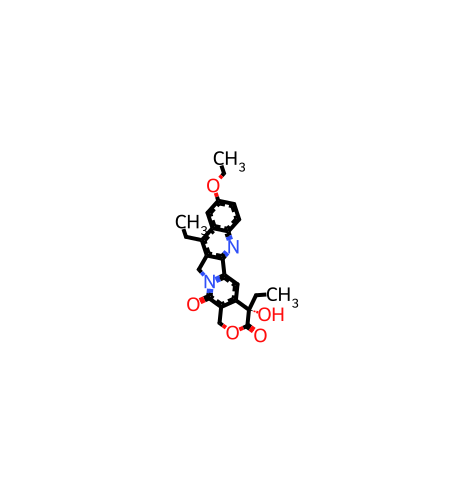 CCOc1ccc2nc3c(c(CC)c2c1)Cn1c-3cc2c(c1=O)COC(=O)[C@]2(O)CC